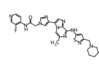 Cc1cn2c(-c3cn(CC(=O)Nc4ccncc4F)cn3)cnc2c(Nc2cc(CN3CCCCC3)ns2)n1